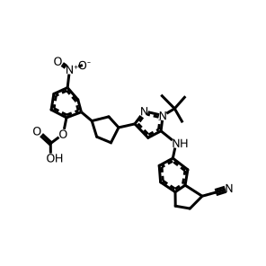 CC(C)(C)n1nc(C2CCC(c3cc([N+](=O)[O-])ccc3OC(=O)O)C2)cc1Nc1ccc2c(c1)C(C#N)CC2